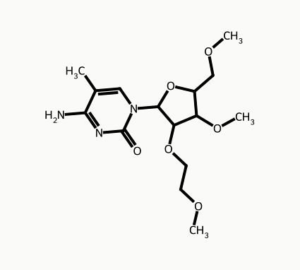 COCCOC1C(OC)C(COC)OC1n1cc(C)c(N)nc1=O